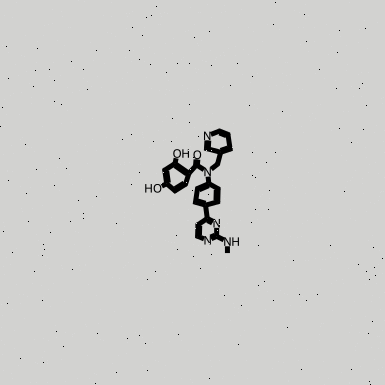 CNc1nccc(-c2ccc(N(Cc3cccnc3)C(=O)c3ccc(O)cc3O)cc2)n1